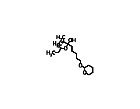 C=C(C)C(O)(C=CCCCOC1CCCCO1)OC(=O)CC